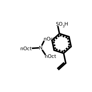 C=Cc1ccc(S(=O)(=O)O)cc1.CCCCCCCCN(CCCCCCCC)CCCCCCCC